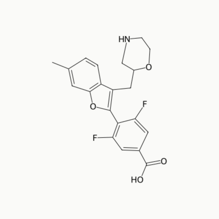 Cc1ccc2c(CC3CNCCO3)c(-c3c(F)cc(C(=O)O)cc3F)oc2c1